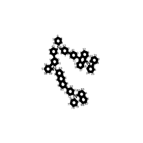 c1ccc(N(c2ccc(-c3ccc(-c4c5ccccc5c(-n5c6ccccc6c6ccccc65)c5ccccc45)cc3)cc2)c2cccc(-c3ccc4c(c3)c3ccccc3n4-c3ccc4cc5cc(-c6ccc(N(c7ccccc7)c7cccc8ccccc78)cc6)ccc5cc4c3)c2)cc1